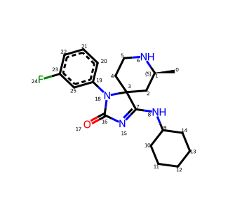 C[C@H]1CC2(CCN1)C(NC1CCCCC1)=NC(=O)N2c1cccc(F)c1